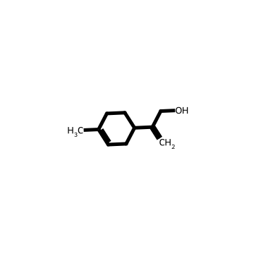 C=C(CO)C1CC=C(C)CC1